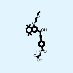 CCOCCOc1cc(C(O)C#Cc2ccc(C(=O)NCC(=O)O)cc2)cc2c1C(C)(C)CCC2(C)C